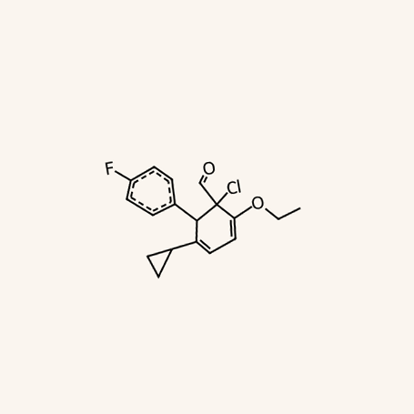 CCOC1=CC=C(C2CC2)C(c2ccc(F)cc2)C1(Cl)C=O